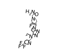 NC(=O)CN1CC[C@@H](Cn2ccc3c(N(Cc4ccc(C(F)(F)F)cn4)C4CC4)ncnc32)[C@H](F)C1